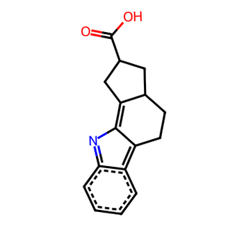 O=C(O)C1CC2=C3N=c4ccccc4=C3CCC2C1